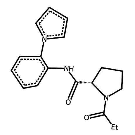 CCC(=O)N1CCC[C@H]1C(=O)Nc1ccccc1-n1cccc1